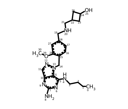 CCCCNc1nc(N)nc2cnn(Cc3ccc(CNCC4CC(O)C4)cc3OC)c12